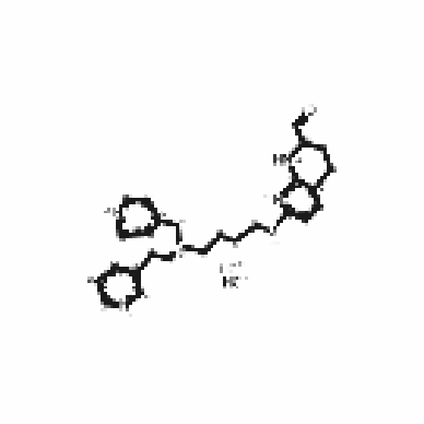 Cl.Cl.O=CC1CCc2ccc(OCCCCN(CCc3cccnc3)Cc3ccncc3)nc2N1